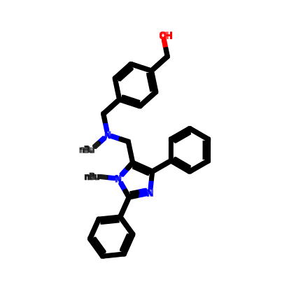 CCCCN(Cc1ccc(CO)cc1)Cc1c(-c2ccccc2)nc(-c2ccccc2)n1CCCC